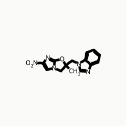 CC1(Cn2cnc3ccccc32)Cn2cc([N+](=O)[O-])nc2O1